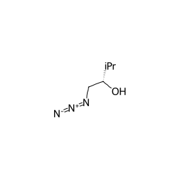 CC(C)[C@H](O)CN=[N+]=[N-]